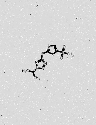 CC(C)n1nnc(Sc2ncc(S(C)(=O)=O)s2)n1